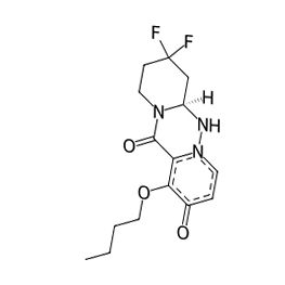 CCCCOc1c2n(ccc1=O)N[C@@H]1CC(F)(F)CCN1C2=O